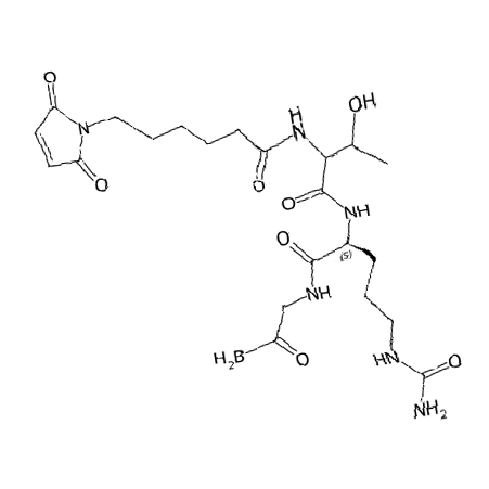 BC(=O)CNC(=O)[C@H](CCCNC(N)=O)NC(=O)C(NC(=O)CCCCCN1C(=O)C=CC1=O)C(C)O